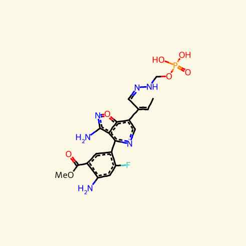 C/C=C(\C=N/NCOP(=O)(O)O)c1cnc(-c2cc(C(=O)OC)c(N)cc2F)c2c(N)noc12